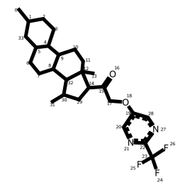 CC1CCC2C(CCC3C2CCC2(C)C(C(=O)COc4cnc(C(F)(F)F)nc4)CC(C)C32)C1